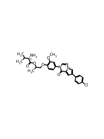 COc1cc(-n2cnn3cc(-c4ccc(Cl)cc4)cc3c2=O)ccc1OCC(C)OC(=O)[C@@H](N)C(C)C